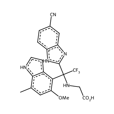 COc1cc(C)c2[nH]ccc2c1C(NCC(=O)O)(c1nc2cc(C#N)ccc2[nH]1)C(F)(F)F